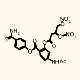 CC(=O)Nc1ccc(C(=O)Oc2ccc(C(N)=S)cc2)c(OC(=O)CC(CO[N+](=O)[O-])O[N+](=O)[O-])c1